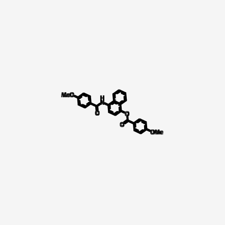 COc1ccc(C(=O)Nc2ccc(OC(=O)c3ccc(OC)cc3)c3ccccc23)cc1